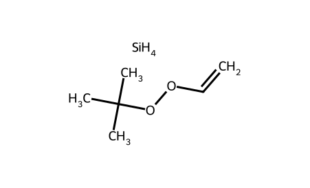 C=COOC(C)(C)C.[SiH4]